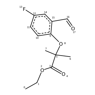 CCOC(=O)C(C)(C)Oc1ccc(F)cc1C=O